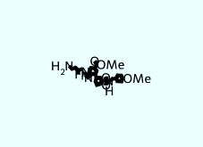 COC(=O)c1cc(-c2cccc(S(=O)(=O)NCc3ccc(OC)cc3)c2)c2nnn(C/C(F)=C/CN)c2c1